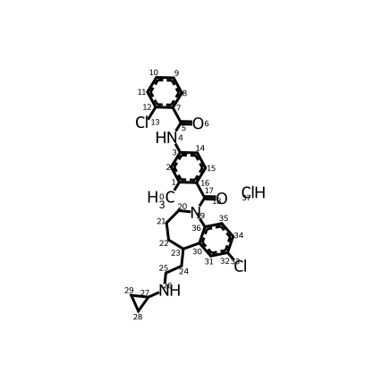 Cc1cc(NC(=O)c2ccccc2Cl)ccc1C(=O)N1CCCC(CCNC2CC2)c2cc(Cl)ccc21.Cl